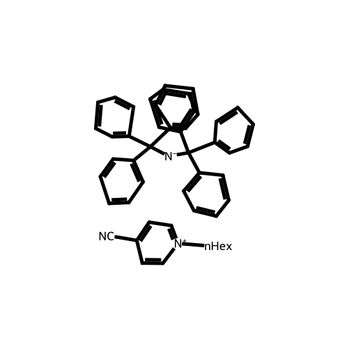 CCCCCC[n+]1ccc(C#N)cc1.c1ccc(C([N-]C(c2ccccc2)(c2ccccc2)c2ccccc2)(c2ccccc2)c2ccccc2)cc1